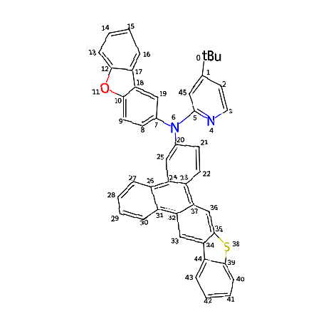 CC(C)(C)c1ccnc(N(c2ccc3oc4ccccc4c3c2)c2ccc3c(c2)c2ccccc2c2cc4c(cc32)sc2ccccc24)c1